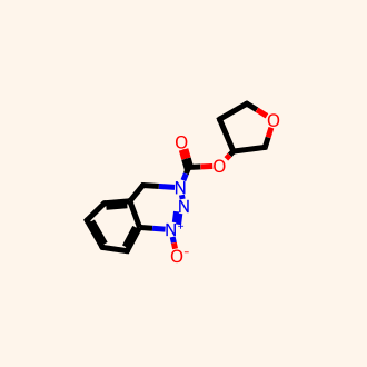 O=C(OC1CCOC1)N1Cc2ccccc2[N+]([O-])=N1